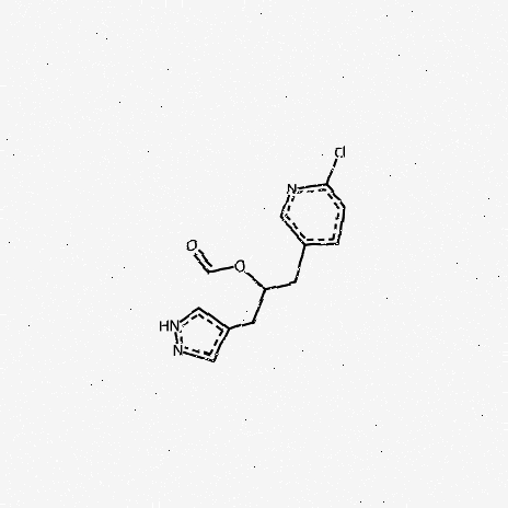 O=COC(Cc1ccc(Cl)nc1)Cc1cn[nH]c1